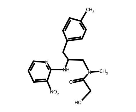 Cc1ccc(CC(CN(C)C(=O)CO)Nc2ncccc2[N+](=O)[O-])cc1